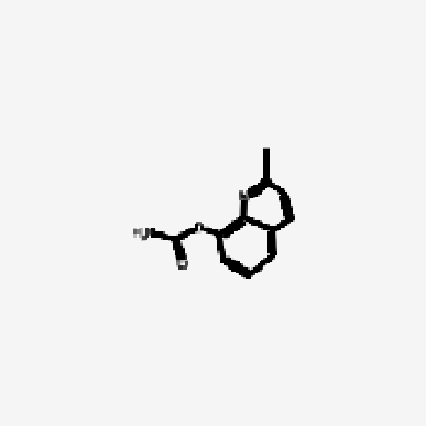 Cc1ccc2cccc(OC(N)=O)c2n1